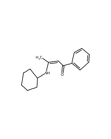 C/C(=C/C(=O)c1ccccc1)NC1CCCCC1